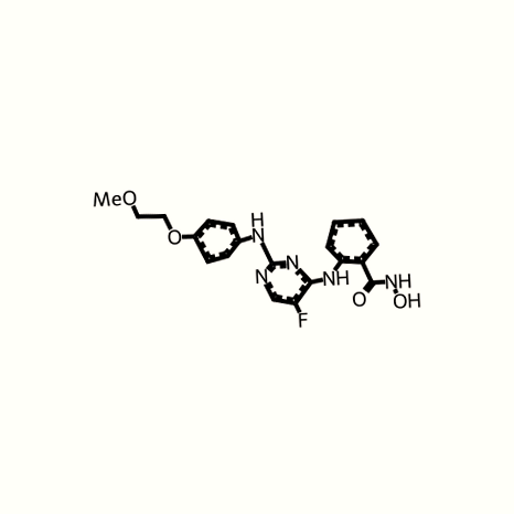 COCCOc1ccc(Nc2ncc(F)c(Nc3ccccc3C(=O)NO)n2)cc1